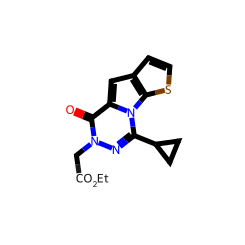 CCOC(=O)Cn1nc(C2CC2)n2c(cc3ccsc32)c1=O